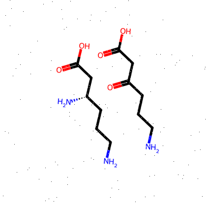 NCCCC(=O)CC(=O)O.NCCC[C@H](N)CC(=O)O